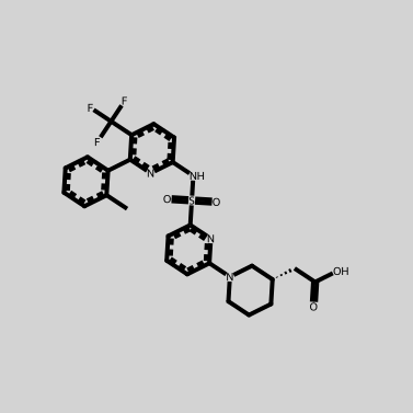 Cc1ccccc1-c1nc(NS(=O)(=O)c2cccc(N3CCC[C@@H](CC(=O)O)C3)n2)ccc1C(F)(F)F